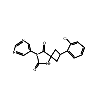 O=C1NC2(CC(c3ccccc3Cl)C2)C(=O)N1c1cncnc1